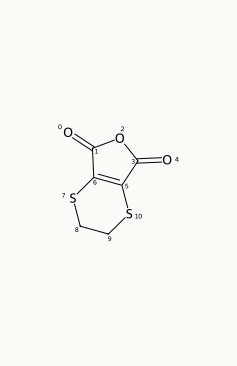 O=C1OC(=O)C2=C1SCCS2